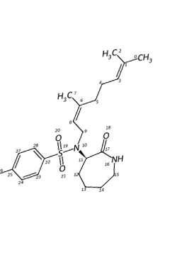 CC(C)=CCCC(C)=CCN([C@@H]1CCCCNC1=O)S(=O)(=O)c1ccc(Cl)cc1